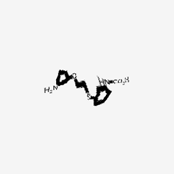 Nc1cccc(OCCSc2cccc(NC(=O)O)c2)c1